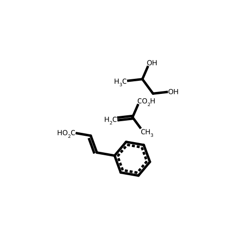 C=C(C)C(=O)O.CC(O)CO.O=C(O)C=Cc1ccccc1